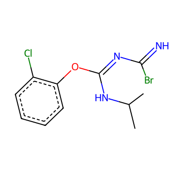 CC(C)N/C(=N\C(=N)Br)Oc1ccccc1Cl